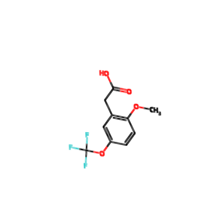 COc1ccc(OC(F)(F)F)cc1CC(=O)O